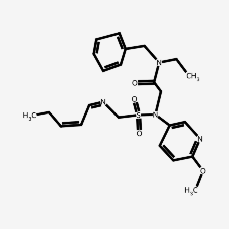 CC/C=C\C=N/CS(=O)(=O)N(CC(=O)N(CC)Cc1ccccc1)c1ccc(OC)nc1